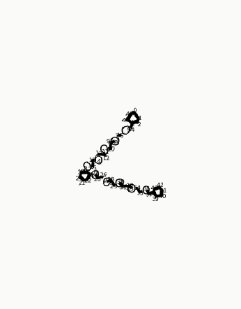 c1ccc(COCCOCCOCCOCCOc2ccccc2OCCOCCOCCOCCOCc2ccccc2)cc1